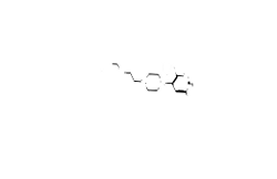 Nc1nnc(Cl)cc1N1CCN(CCOCC(=O)O)CC1